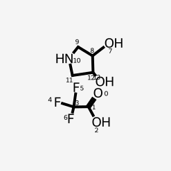 O=C(O)C(F)(F)F.OC1CNCC1O